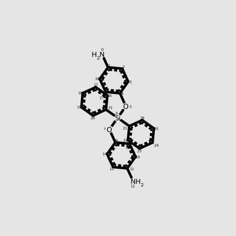 Nc1ccc(O[Si](Oc2ccc(N)cc2)(c2ccccc2)c2ccccc2)cc1